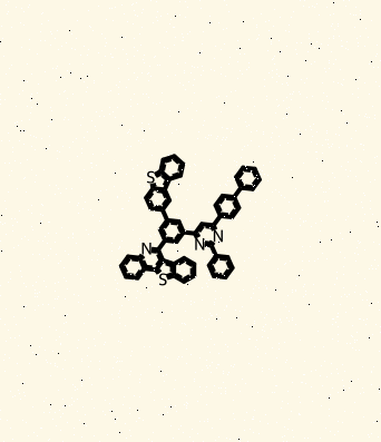 c1ccc(-c2ccc(-c3cc(-c4cc(-c5ccc6sc7ccccc7c6c5)cc(-c5nc6ccccc6c6sc7ccccc7c56)c4)nc(-c4ccccc4)n3)cc2)cc1